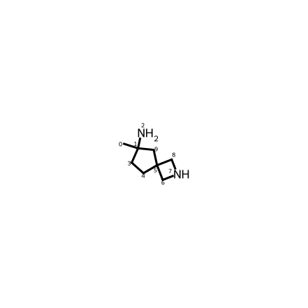 CC1(N)CCC2(CNC2)C1